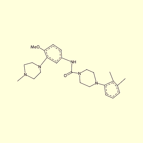 COc1ccc(NC(=O)N2CCN(c3cccc(C)c3C)CC2)cc1N1CCN(C)CC1